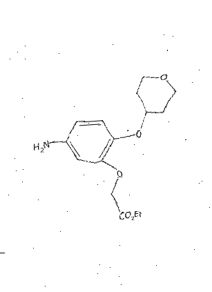 CCOC(=O)COc1cc(N)ccc1OC1CCOCC1